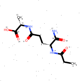 CCC(=O)N[C@H](CCC(=O)N[C@@H](C)C(=O)O)C(N)=O